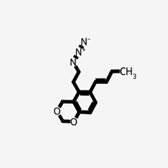 CC/C=C/c1ccc2c(c1CCN=[N+]=[N-])COCO2